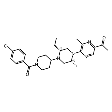 CC[C@H]1CN(c2ncc(C(C)=O)nc2C)[C@H](C)CN1C1CCN(C(=O)c2ccc(Cl)cc2)CC1